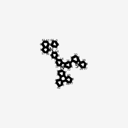 c1ccc(N(c2ccc(-c3ccc4c(c3)c3cc(-c5cccc6c5sc5ccccc56)ccc3n4-c3ccc4c5ccccc5c5ccccc5c4c3)cc2)c2cccc3ccccc23)cc1